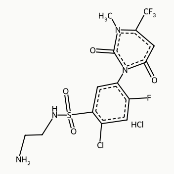 Cl.Cn1c(C(F)(F)F)cc(=O)n(-c2cc(S(=O)(=O)NCCN)c(Cl)cc2F)c1=O